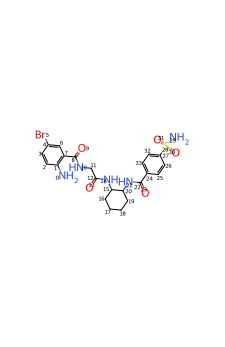 Nc1ccc(Br)cc1C(=O)NCC(=O)N[C@@H]1CCCC[C@@H]1NC(=O)c1ccc(S(N)(=O)=O)cc1